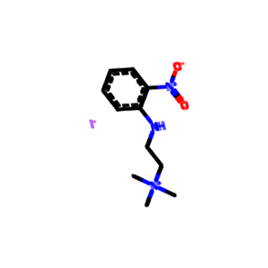 C[N+](C)(C)CCNc1ccccc1[N+](=O)[O-].[I-]